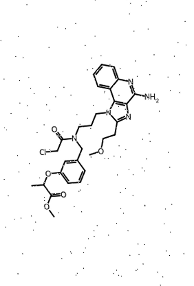 COCCc1nc2c(N)nc3ccccc3c2n1CCCN(Cc1cccc(OC(C)C(=O)OC)c1)C(=O)CCl